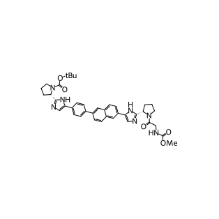 COC(=O)NCC(=O)N1CCC[C@H]1c1ncc(-c2ccc3cc(-c4ccc(-c5cnc([C@@H]6CCCN6C(=O)OC(C)(C)C)[nH]5)cc4)ccc3c2)[nH]1